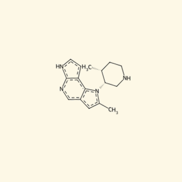 Cc1cc2cnc3[nH]ccc3c2n1[C@H]1CNCC[C@H]1C